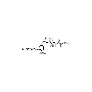 CCCCCNC(=S)NC[C@H](O)[C@@H](N)C[C@H](Cc1ccc(OC)c(OCCCOC)c1)C(C)C